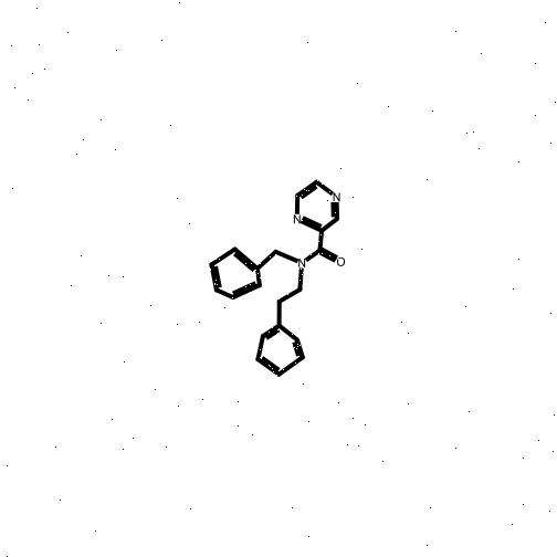 O=C(c1cnccn1)N(CCc1ccccc1)Cc1ccccc1